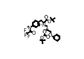 CN(C(=O)C(F)(F)F)c1ccc(CC(NC[C@@H](COc2ccccc2)OC(=O)OC(C)(C)C)C(=O)OC(C)(C)C)cc1